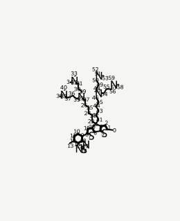 Cc1cc2c(s1)-c1sc(-c3ccc(C)c4nsnc34)cc1C2(CCCCCCN(CCCN(C)C)CCCN(C)C)CCCCCCN(CCCN(C)C)CCCN(C)C